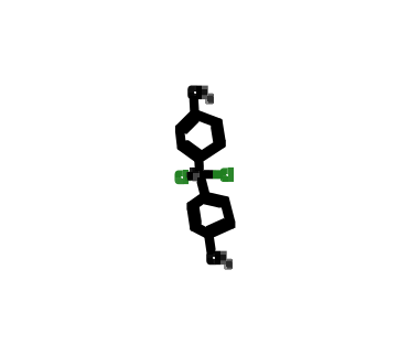 Cc1cc[c]([Ti]([Cl])([Cl])[c]2ccc(C)cc2)cc1